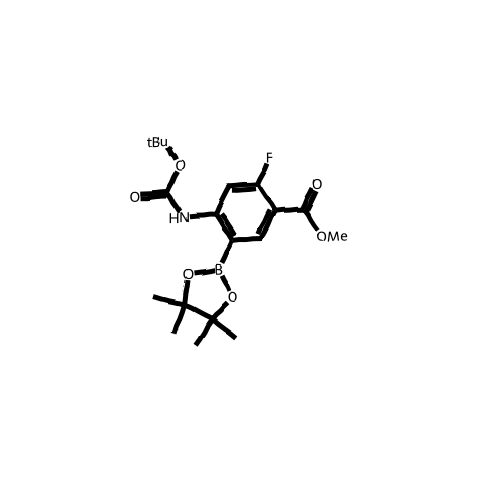 COC(=O)c1cc(B2OC(C)(C)C(C)(C)O2)c(NC(=O)OC(C)(C)C)cc1F